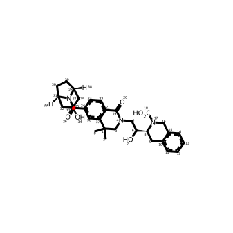 CC1(C)CN(CC(O)[C@@H]2Cc3ccccc3CN2C(=O)O)C(=O)c2ccc(C(=O)N3[C@@H]4CC[C@H]3C[C@H](O)C4)cc21